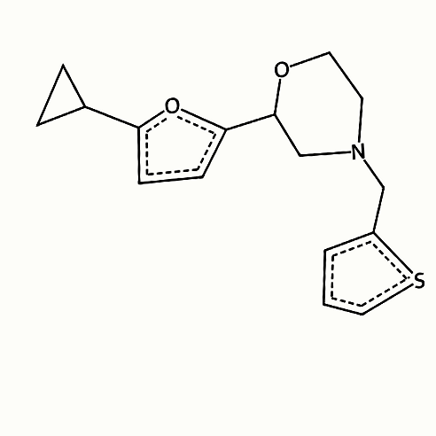 c1csc(CN2CCOC(c3ccc(C4CC4)o3)C2)c1